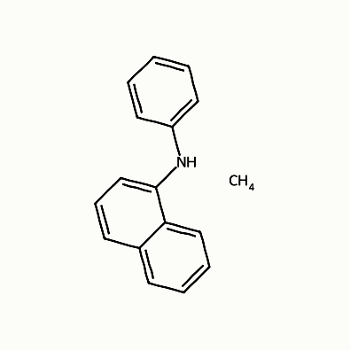 C.c1ccc(Nc2cccc3ccccc23)cc1